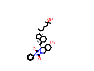 CC(CCCC(C)(C)O)[C@H]1CC[C@H]2/C(=C/[C@H]3C4=C(CC[C@H](O)C4)Cn4c(=O)n(-c5ccccc5)c(=O)n43)CCC[C@]12C